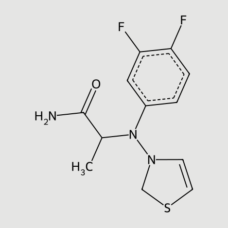 CC(C(N)=O)N(c1ccc(F)c(F)c1)N1C=CSC1